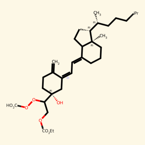 C=C1CC[C@](O)(C(COC(=O)OCC)OOC(=O)O)C/C1=C/C=C1CCC[C@@]2(C)C1CC[C@@H]2[C@H](C)CCCC(C)C